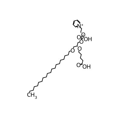 CCCCCCCCCCCCCCCCCCCCOCC(COP(=O)(O)OCC[n+]1ccccc1)OCCCCC(=O)O